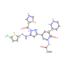 COC(=O)Cn1cc(-c2cc(NCc3ccc(Cl)s3)n(C(=O)c3cnco3)n2)cc(-c2cccnc2)c1=O